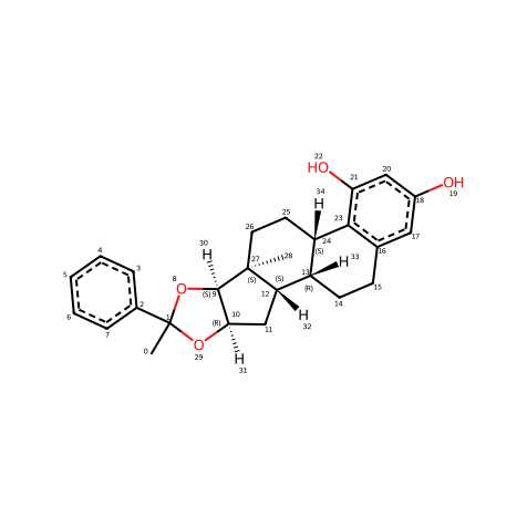 CC1(c2ccccc2)O[C@@H]2[C@@H](C[C@H]3[C@H]4CCc5cc(O)cc(O)c5[C@H]4CC[C@]23C)O1